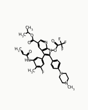 C=CC(=O)Nc1cc(-c2c(-c3ccc(N4CCN(C)CC4)cc3)n(OC(=O)C(F)(F)F)c3ncc(C(=O)OC(C)C)cc23)cc(F)c1C